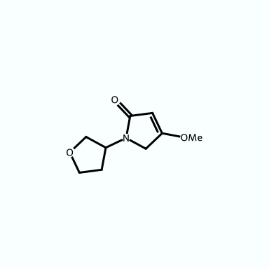 COC1=CC(=O)N(C2CCOC2)C1